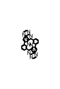 c1ccc2c(c1)c1cccc(-c3cnc4nccnc4n3)c1n2-n1c2ccccc2c2cccc(-c3cnc4nccnc4n3)c21